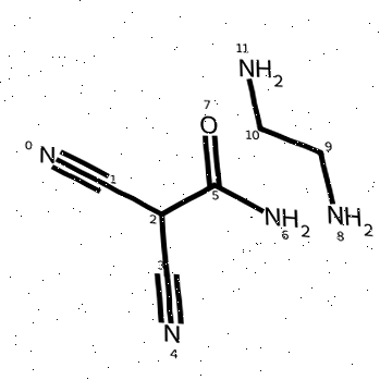 N#CC(C#N)C(N)=O.NCCN